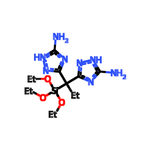 [CH2]CC(c1n[nH]c(N)n1)(c1n[nH]c(N)n1)[Si](OCC)(OCC)OCC